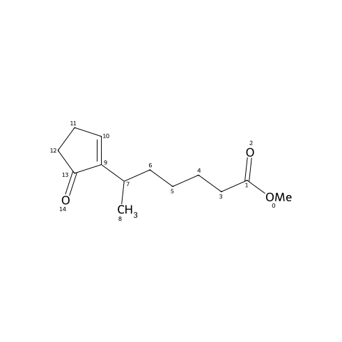 COC(=O)CCCCC(C)C1=CCCC1=O